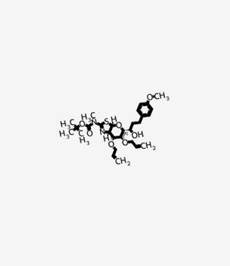 C=CCO[C@@H]1[C@H]2N=C(N(C)C(=O)OC(C)(C)C)S[C@H]2O[C@H](C(O)CCc2ccc(OC)cc2)[C@H]1OCC=C